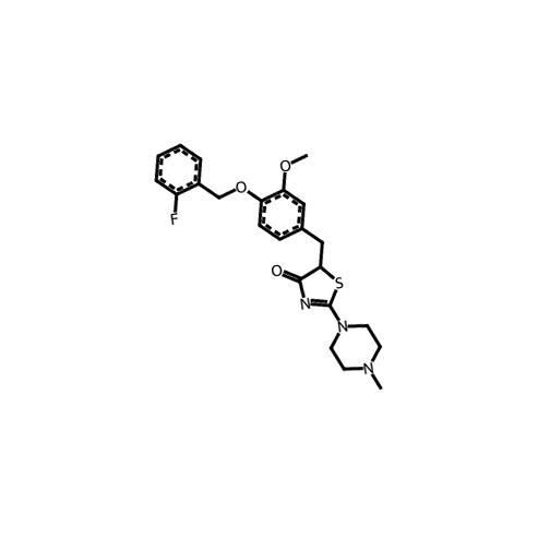 COc1cc(CC2SC(N3CCN(C)CC3)=NC2=O)ccc1OCc1ccccc1F